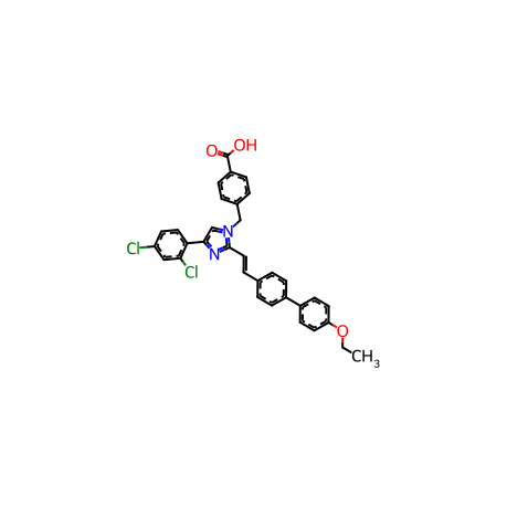 CCOc1ccc(-c2ccc(/C=C/c3nc(-c4ccc(Cl)cc4Cl)cn3Cc3ccc(C(=O)O)cc3)cc2)cc1